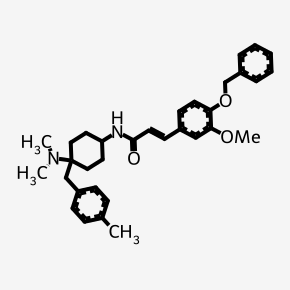 COc1cc(/C=C/C(=O)NC2CCC(Cc3ccc(C)cc3)(N(C)C)CC2)ccc1OCc1ccccc1